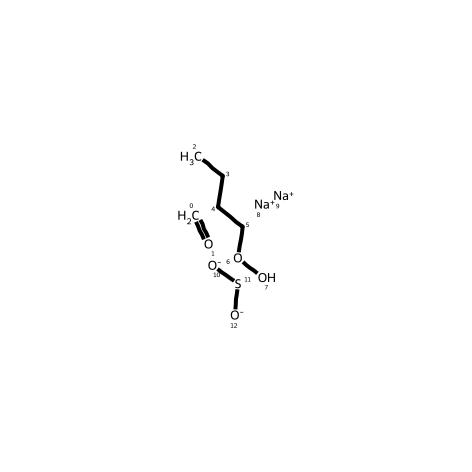 C=O.CCCCOO.[Na+].[Na+].[O-]S[O-]